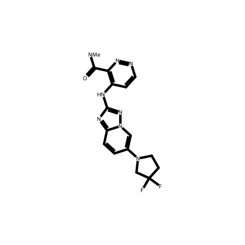 CNC(=O)c1nnccc1Nc1nc2ccc(N3CCC(F)(F)C3)cn2n1